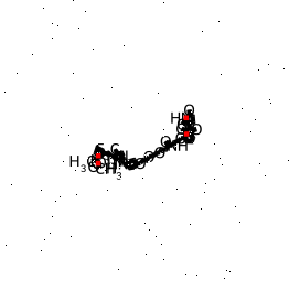 CN(c1cccc(CNc2nc(Nc3ccc(OCCOCCOCCC(=O)NCCOc4cccc5c4C(=O)N(C4CCC(=O)NC4=O)C5=O)cc3)ncc2C(F)(F)F)c1)S(C)(=O)=O